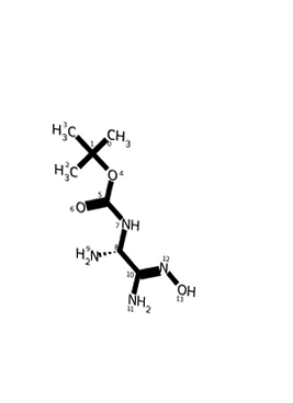 CC(C)(C)OC(=O)N[C@@H](N)/C(N)=N/O